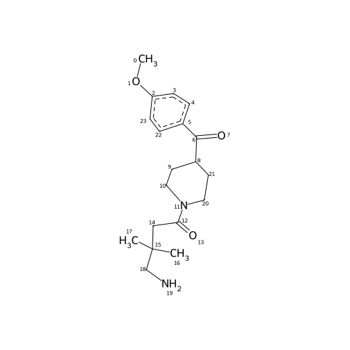 COc1ccc(C(=O)C2CCN(C(=O)CC(C)(C)CN)CC2)cc1